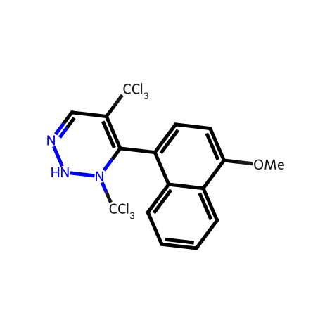 COc1ccc(C2=C(C(Cl)(Cl)Cl)C=NNN2C(Cl)(Cl)Cl)c2ccccc12